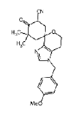 COc1ccc(Cn2cnc3c2CCOC32CC(C#N)C(=O)C(C)(C)C2)cc1